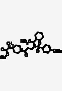 COc1ccc(S(=O)(=O)N(CCC(=O)N2CCC(N(C)C(=O)OC(C)(C)C)CC2)C(C(=O)O)C2CCCCC2)cc1